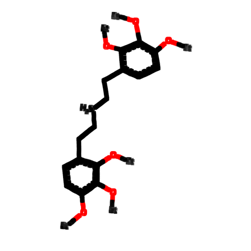 CCOc1ccc(CC[SiH2]CCc2ccc(OCC)c(OCC)c2OCC)c(OCC)c1OCC